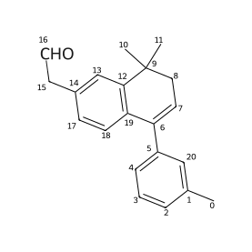 Cc1cccc(C2=CCC(C)(C)c3cc(CC=O)ccc32)c1